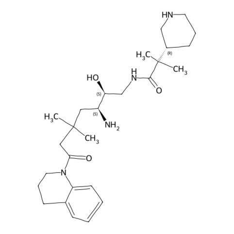 CC(C)(CC(=O)N1CCCc2ccccc21)C[C@H](N)[C@@H](O)CNC(=O)C(C)(C)[C@H]1CCCNC1